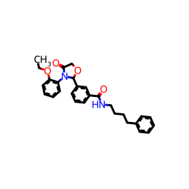 CCOc1ccccc1N1C(=O)COC1c1cccc(C(=O)NCCCCc2ccccc2)c1